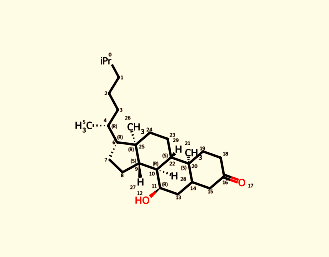 CC(C)CCC[C@@H](C)[C@H]1CC[C@H]2[C@@H]3[C@H](O)CC4CC(=O)CC[C@]4(C)[C@H]3CC[C@]12C